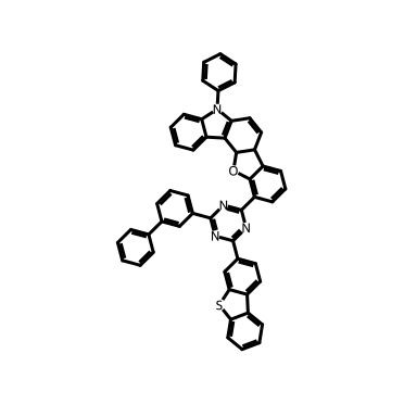 C1=CC2c3cccc(-c4nc(-c5cccc(-c6ccccc6)c5)nc(-c5ccc6c(c5)sc5ccccc56)n4)c3OC2c2c1n(-c1ccccc1)c1ccccc21